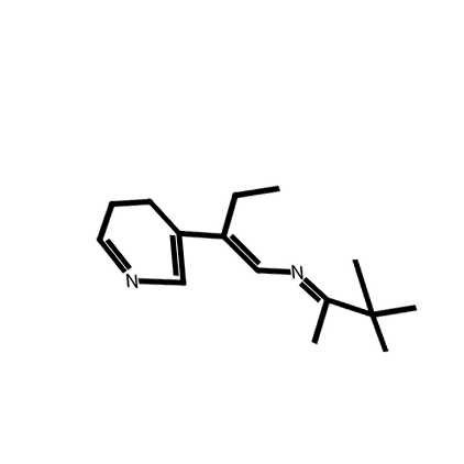 CC/C(=C\N=C(/C)C(C)(C)C)C1=CN=CCC1